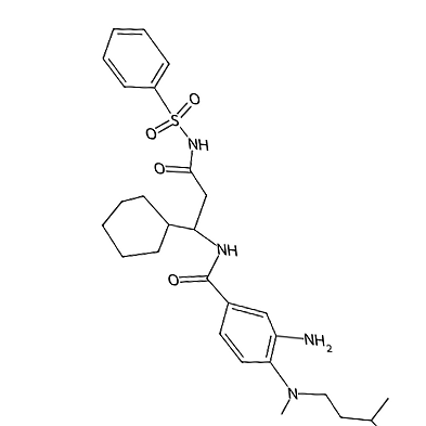 CC(C)CCN(C)c1ccc(C(=O)NC(CC(=O)NS(=O)(=O)c2ccccc2)C2CCCCC2)cc1N